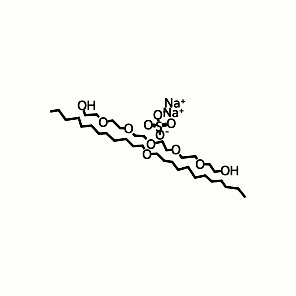 CCCCCCCCCCCCOCCCCCCCCCCCC.O=S(=O)([O-])[O-].OCCOCCOCCOCCOCCOCCO.[Na+].[Na+]